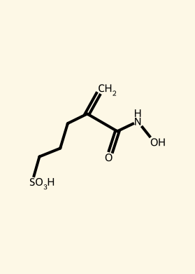 C=C(CCCS(=O)(=O)O)C(=O)NO